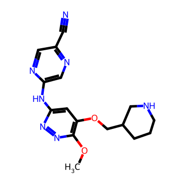 COc1nnc(Nc2cnc(C#N)cn2)cc1OCC1CCCNC1